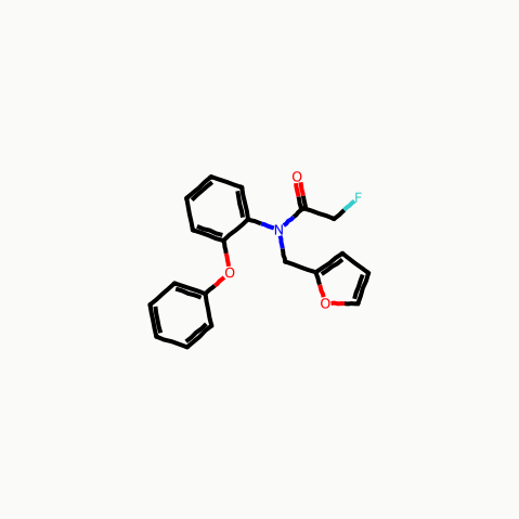 O=C(CF)N(Cc1ccco1)c1ccccc1Oc1ccccc1